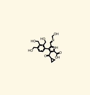 O=C(O)c1[nH]c(/C=N/CO)c(-c2ccc(CO)c(CO)c2CO)c1C(=O)C1CC1